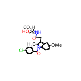 COc1ccc2c(c1)c(CC(=O)N[C@@H](CO)C(=O)O)c(C)n2C(=O)c1ccc(Cl)cc1